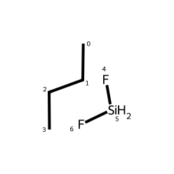 CCCC.F[SiH2]F